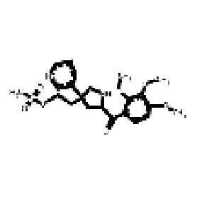 COc1ccc(C(=O)C2CC(CCOS(C)(=O)=O)(c3cccnc3)CN2)c(OC)c1OC